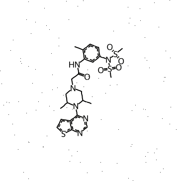 Cc1ccc(N(S(C)(=O)=O)S(C)(=O)=O)cc1NC(=O)CN1CC(C)N(c2ncnc3sccc23)C(C)C1